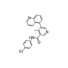 CCc1ccc(NC(=O)c2cncc(-c3cccc4ncccc34)c2C)cc1